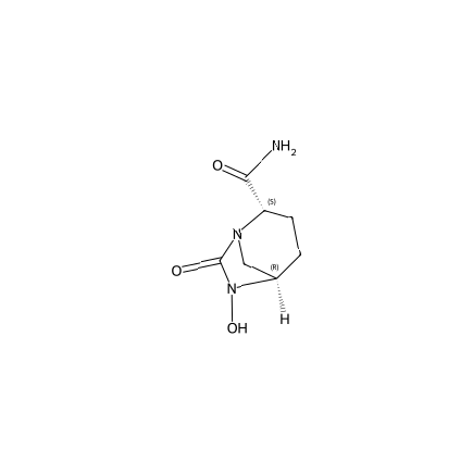 NC(=O)[C@@H]1CC[C@@H]2CN1C(=O)N2O